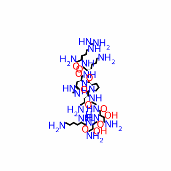 N=C(N)NCC/C=C(\NC(=O)[C@H](CCCCN)NC(=O)[C@H](Cc1cnc[nH]1)NC(=O)[C@@H]1CCCN1C(=O)[C@@H](CCCN)NC(=O)CNC(=O)[C@@H](NC(=O)[C@@H](NC(=O)[C@@H](N)CCCCN)[C@@H](O)CN)[C@@H](O)CN)C(N)=O